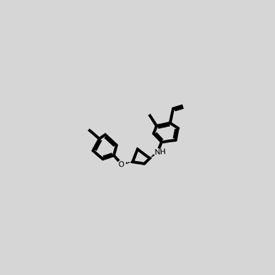 C=Cc1ccc(N[C@H]2C[C@@H](Oc3ccc(C)cc3)C2)cc1C